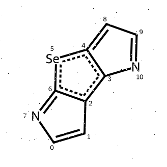 C1=Cc2c3c([se]c2=N1)=CC=N3